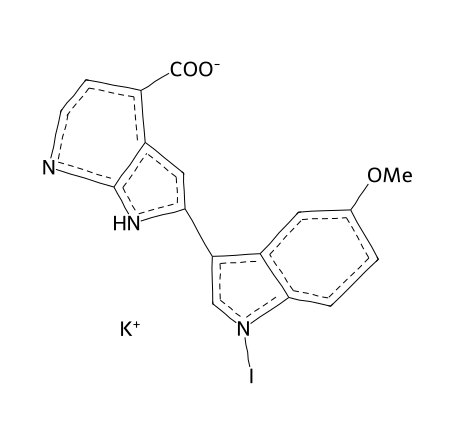 COc1ccc2c(c1)c(-c1cc3c(C(=O)[O-])ccnc3[nH]1)cn2I.[K+]